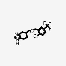 FC(F)(F)c1ccc(Cl)c(COCC2CCc3[nH]cnc3C2)c1